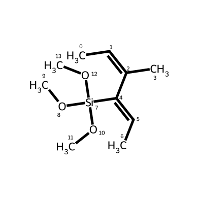 CC=C(C)C(=CC)[Si](OC)(OC)OC